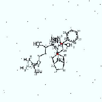 Cc1nnc(C(C)CCO[Si](C)(C)C(C)(C)C)n1C1CC2CCC(C1)N2CC[C@H](N)c1ccccc1